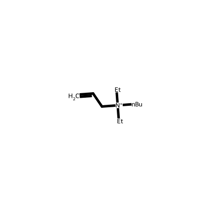 C=CC[N+](CC)(CC)CCCC